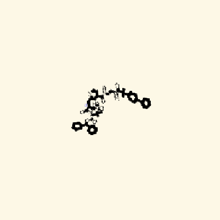 CC(C)(C(=O)NCCNC(=O)c1ccnc(/C=C2/C(=O)N3[C@@H](C(=O)OC(c4ccccc4)c4ccccc4)C(C)(C)S(=O)(=O)[C@H]23)c1)c1ccc(-c2ccccc2)cc1